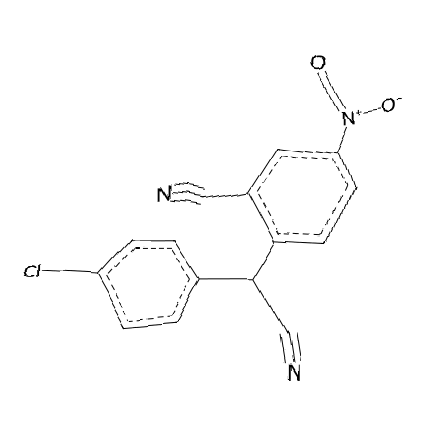 N#Cc1cc([N+](=O)[O-])ccc1C(C#N)c1ccc(Cl)cc1